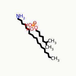 CC(C)CCCCCOP(=O)(O)O.CCCCCCCCCCCCCCCCCCN